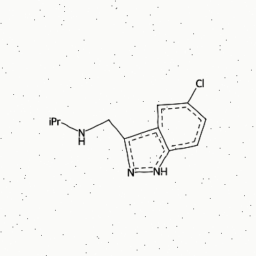 CC(C)NCc1n[nH]c2ccc(Cl)cc12